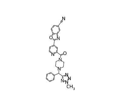 Cn1nnc(C(c2ccccc2)N2CCN(C(=O)c3cc(-c4nc5cc(C#N)ccc5o4)ccn3)CC2)n1